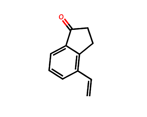 C=Cc1cccc2c1CCC2=O